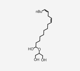 CCCC/C=C\C/C=C\CCCCCCCC(O)OC(CO)CO